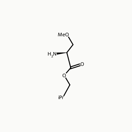 COC[C@H](N)C(=O)OCC(C)C